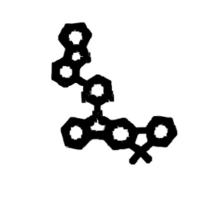 CC1(C)c2ccccc2-c2cc3c(cc21)c1ccccc1n3-c1nccc(-c2cccc3c2sc2ccccc23)n1